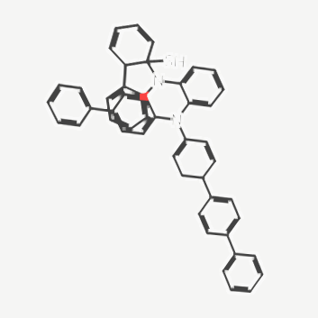 SC12C=CC=CC1c1ccccc1N2c1ccccc1N(C1=CCC(c2ccc(-c3ccccc3)cc2)C=C1)c1ccc(-c2ccccc2)cc1